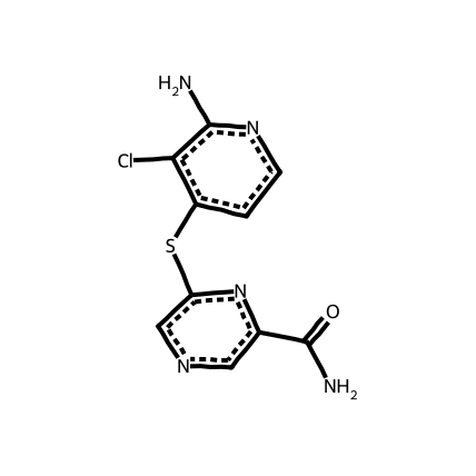 NC(=O)c1cncc(Sc2ccnc(N)c2Cl)n1